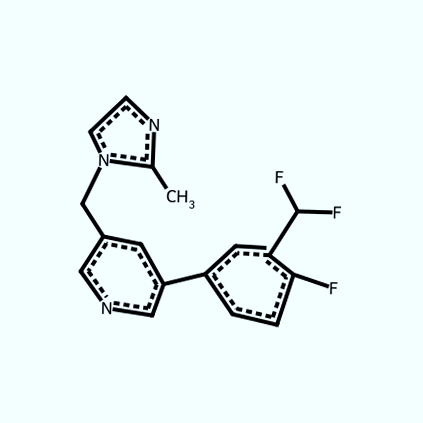 Cc1nccn1Cc1cncc(-c2ccc(F)c(C(F)F)c2)c1